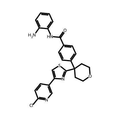 Nc1ccccc1NC(=O)c1ccc(C2(c3nc(-c4ccc(Cl)nc4)cs3)CCOCC2)cc1